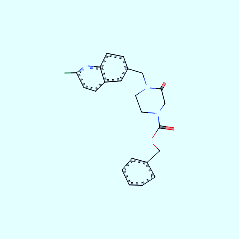 O=C1CN(C(=O)OCc2ccccc2)CCN1Cc1ccc2nc(Cl)ccc2c1